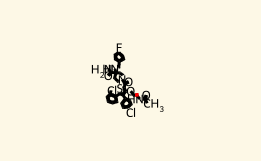 CC(=O)NCCOc1c(C(=O)N2CCC(NCc3ccc(F)cc3)(C(N)=O)CC2)sc(-c2ccccc2Cl)c1-c1ccc(Cl)cc1